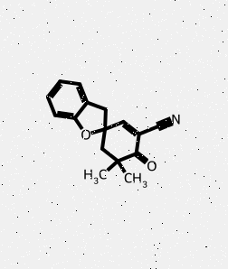 CC1(C)CC2(C=C(C#N)C1=O)Cc1ccccc1O2